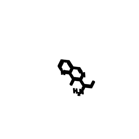 C/C=C(/N)c1ncc2cccnc2c1C